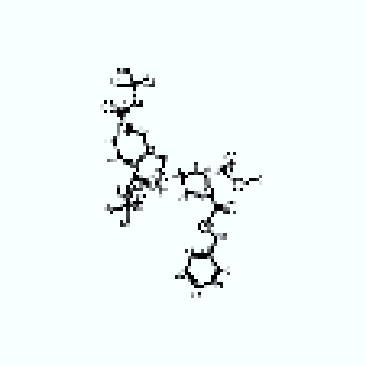 COC(=O)[C@H]1C[C@@H](NCC2CN(C(=O)OC(C)(C)C)CCN2C(=O)OC(C)(C)C)CN1C(=O)OCc1ccccc1